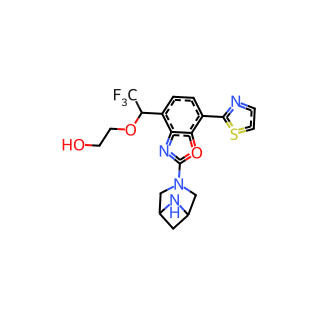 OCCOC(c1ccc(-c2nccs2)c2oc(N3CC4CC(C3)N4)nc12)C(F)(F)F